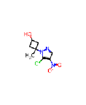 CC1(n2ncc([N+](=O)[O-])c2Cl)CC(O)C1